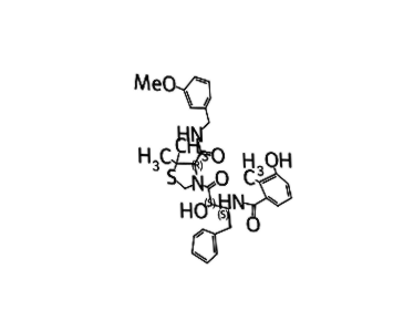 COc1cccc(CNC(=O)[C@H]2N(C(=O)[C@@H](O)[C@H](Cc3ccccc3)NC(=O)c3cccc(O)c3C)CSC2(C)C)c1